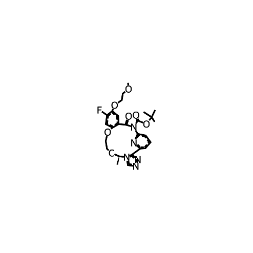 COCCOc1cc2c(cc1F)OCCC[C@H](C)n1cnnc1-c1cccc(n1)N(C(=O)OC(C)(C)C)C2=O